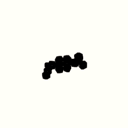 c1ccc(-n2c3ccccc3c3cc(-c4c5ccccc5c(-c5c6ccccc6c(-c6ccc7sc8cc9ccccc9cc8c7c6)c6ccccc56)c5ccccc45)ccc32)cc1